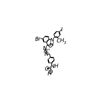 Cc1cc(I)ccc1Nc1ccc(Br)cc1C(=O)N=[N+]=NCc1ccc(N[SH](=O)=O)cc1